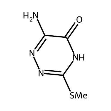 CSc1nnc(N)c(=O)[nH]1